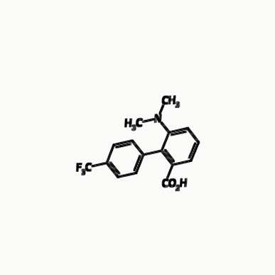 CN(C)c1cccc(C(=O)O)c1-c1ccc(C(F)(F)F)cc1